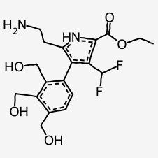 CCOC(=O)c1[nH]c(CCN)c(-c2ccc(CO)c(CO)c2CO)c1C(F)F